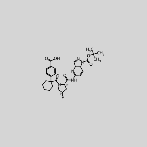 CC(C)(C)OC(=O)n1ncc2nc(NC(=O)[C@H]3C[C@@H](F)CN3C(=O)C3(c4ccc(C(=O)O)cc4)CCCCC3)ccc21